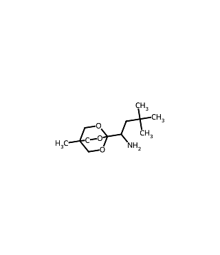 CC(C)(C)CC(N)C12OCC(C)(CO1)CO2